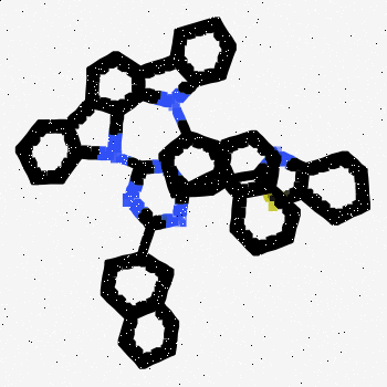 c1cc(-c2nc3ccccc3s2)cc(-n2c3ccccc3c3ccc4c5ccccc5n(-c5nc(-c6ccc7ccccc7c6)nc(-c6cccc7ccccc67)n5)c4c32)c1